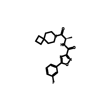 C[C@H](NC(=O)c1noc(-c2cccc(F)c2)n1)C(=O)N1CCC2(CCC2)CC1